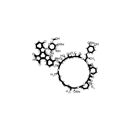 CO[C@H]1C[C@@H]2CC[C@@H](C)[C@@](O)(O2)C(=O)C(=O)N2CCCC[C@H]2C(=O)O[C@H]([C@H](C)C[C@@H]2CC[C@@H](O)[C@H](OC)C2)CC(=O)[C@H](C)/C=C(\C)[C@@H](O)[C@@H](OC)C(=O)[C@H](C)C[C@H](C)/C=C/C=C/C=C/1C.CO[C@H]1[C@H](O)[C@@H](O)[C@H](n2c3c(Cl)cccc3c3c4c(c5c6cccc(Cl)c6[nH]c5c32)C(=O)NC4=O)O[C@@H]1CO